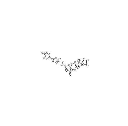 Cc1ccc(N2CCN(CCC3CC4(CCN(S(=O)(=O)c5cccs5)CC4)C(=O)O3)CC2)cc1